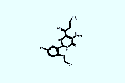 CCCC(=N)C1=C(NC)C(=O)NC(c2cc(S)ccc2OCC)N1